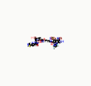 Cc1ncsc1-c1ccc([C@@]2(C)NC([C@H]3C[C@@H](O)CN3C(=O)[C@H](c3cc(OCCCCCNC(=O)c4cc5c(cc4CS(C)(=O)=O)-c4cn(C)c(=O)c6[nH]cc(c46)CN5c4ncc(F)cc4F)no3)C(C)C)=NC2=O)cc1